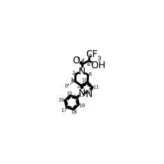 C[C@@H]1CN(C(=O)C(O)C(F)(F)F)Cc2cnn(-c3ccccc3)c21